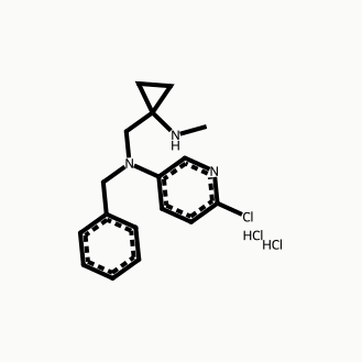 CNC1(CN(Cc2ccccc2)c2ccc(Cl)nc2)CC1.Cl.Cl